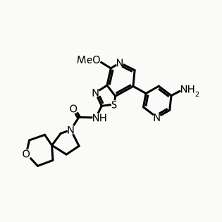 COc1ncc(-c2cncc(N)c2)c2sc(NC(=O)N3CCC4(CCOCC4)C3)nc12